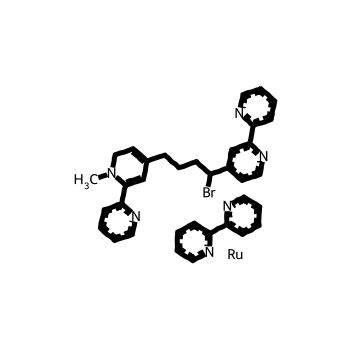 CN1CC=C(CCCC(Br)c2ccnc(-c3ccccn3)c2)C=C1c1ccccn1.[Ru].c1ccc(-c2ccccn2)nc1